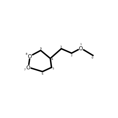 COCCC1CCOOC1